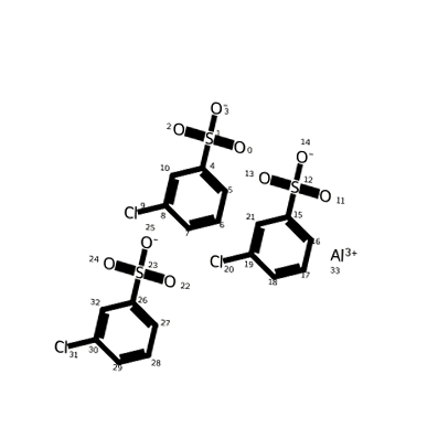 O=S(=O)([O-])c1cccc(Cl)c1.O=S(=O)([O-])c1cccc(Cl)c1.O=S(=O)([O-])c1cccc(Cl)c1.[Al+3]